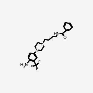 Nc1ccc(N2CCN(CCCCNC(=O)c3ccccc3)CC2)cc1C(F)(F)F